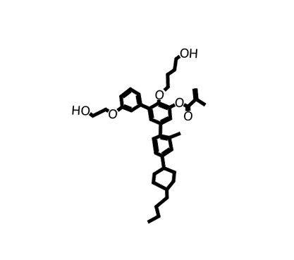 C=C(C)C(=O)Oc1cc(-c2ccc(C3CCC(CCCC)CC3)cc2C)cc(-c2cccc(OCCO)c2)c1OCCCCO